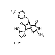 Nc1nc2c(c(=O)[nH]1)n(Cc1ccc(C(F)(F)F)cc1)c(=O)n2[C@@H]1O[C@H](CO)C[C@H]1O